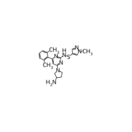 Cc1cccc(C)c1-c1cc(N2CCC(N)C2)nc(NSc2cnn(C)c2)n1